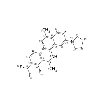 Cc1nnc(NC(C)c2cccc(C(F)F)c2F)c2cc(N3CCCC3)cnc12